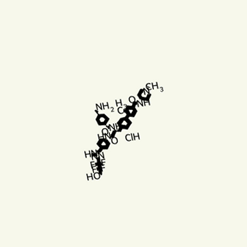 Cc1cc(C(=O)NC2CCN(C)CC2)ccc1-c1ccc(C[C@H](NC(=O)[C@H]2CC[C@H](CN)CC2)C(=O)Nc2ccc(-c3nc(C(F)(F)C(F)(F)CO)n[nH]3)cc2)cc1.Cl